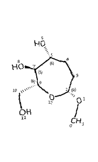 CO[C@H]1CC[C@@H](O)[C@H](O)[C@@H](CO)O1